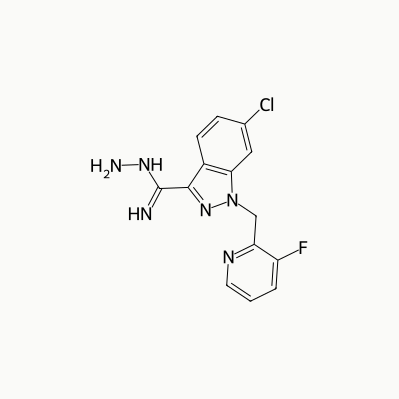 N=C(NN)c1nn(Cc2ncccc2F)c2cc(Cl)ccc12